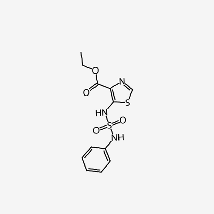 CCOC(=O)c1ncsc1NS(=O)(=O)Nc1ccccc1